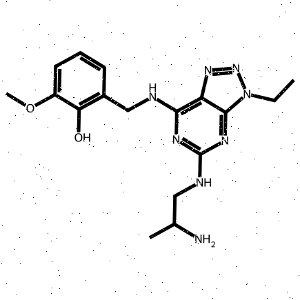 CCn1nnc2c(NCc3cccc(OC)c3O)nc(NCC(C)N)nc21